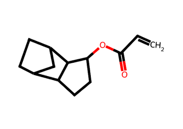 C=CC(=O)OC1CCC2C3CCC(C3)C12